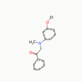 CCOc1cccc(N(C)CC(=O)c2ccccc2)c1